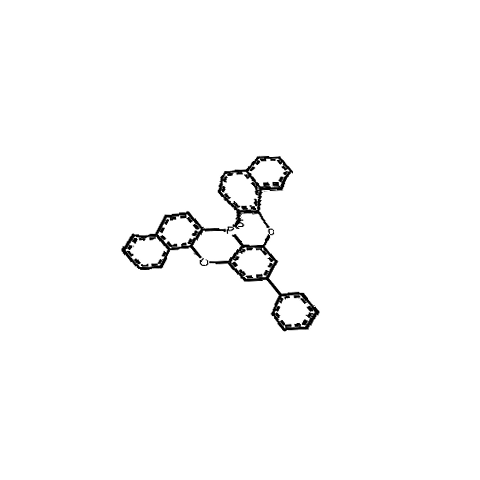 S=P12c3ccc4ccccc4c3Oc3cc(-c4ccccc4)cc(c31)Oc1c2ccc2ccccc12